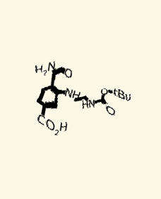 CC(C)(C)OC(=O)NCCNc1cc(C(=O)O)ccc1C(N)=O